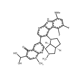 CNc1cc(F)c(F)c2c1[nH]c1ncc(-c3cnc4c(c3)c(=O)c(C(O)O)cn4C)c(N3CC[C@H]4CN(C)C[C@H]43)c12